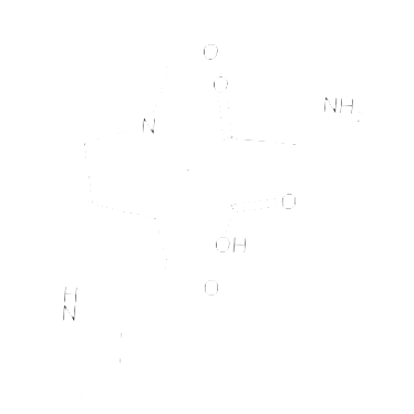 CC(=O)N1CCC(C(=O)C2CCCN2)C1(C(=O)O)C(=O)CN